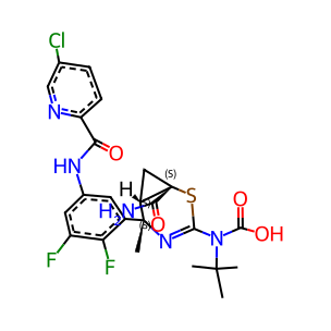 CC(C)(C)N(C(=O)O)C1=N[C@](C)(c2cc(NC(=O)c3ccc(Cl)cn3)cc(F)c2F)[C@@H]2C[C@]2(C(N)=O)S1